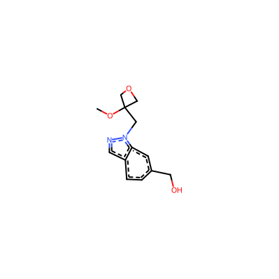 COC1(Cn2ncc3ccc(CO)cc32)COC1